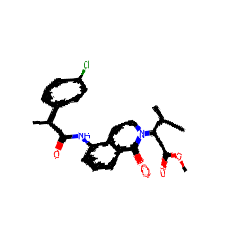 COC(=O)C(C(C)C)n1ccc2c(NC(=O)C(C)c3ccc(Cl)cc3)cccc2c1=O